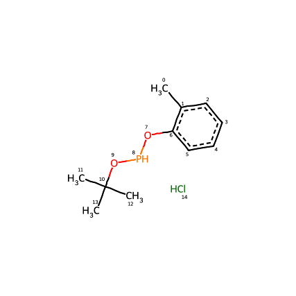 Cc1ccccc1OPOC(C)(C)C.Cl